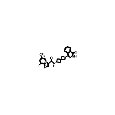 O=C(N[C@H]1CC2(C1)C[C@H](c1n[nH]c(=O)c3ccccc31)C2)c1cnc2c(F)cc(C(F)(F)F)cn12